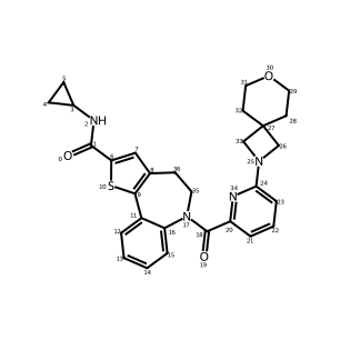 O=C(NC1CC1)c1cc2c(s1)-c1ccccc1N(C(=O)c1cccc(N3CC4(CCOCC4)C3)n1)CC2